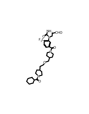 NC(=O)N(CCC=O)c1cc(C(=O)N2CCC(COCCC3CCN(C(=O)C4CCCCC4)CC3)CC2)ccc1C(F)(F)F